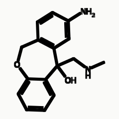 CNCC1(O)c2cc(N)ccc2COc2ccccc21